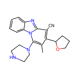 Cc1c(C2CCCO2)c(C#N)c2nc3ccccc3n2c1N1CCNCC1